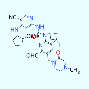 COC1CCCC1Nc1cc(NC(=O)N2c3nc(C=O)c(CN4CCN(C)CC4=O)cc3C3(F)CC2C3)ncc1C#N